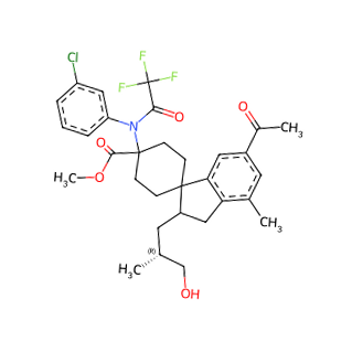 COC(=O)C1(N(C(=O)C(F)(F)F)c2cccc(Cl)c2)CCC2(CC1)c1cc(C(C)=O)cc(C)c1CC2C[C@@H](C)CO